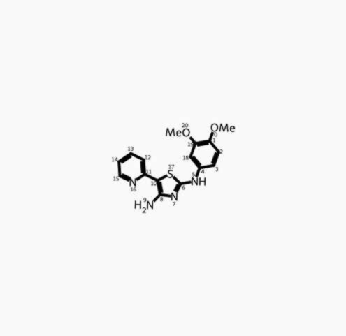 COc1ccc(Nc2nc(N)c(-c3ccccn3)s2)cc1OC